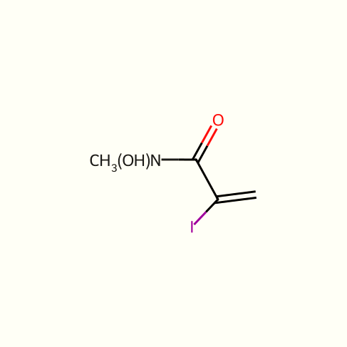 C=C(I)C(=O)N(C)O